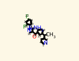 CC(c1cccnc1)c1cccc(C(=O)c2cnn(-c3ccc(F)cc3F)c2N)c1